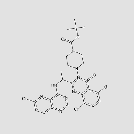 CC(Nc1ncnc2ccc(Cl)nc12)c1nc2c(Cl)ccc(Cl)c2c(=O)n1N1CCN(C(=O)OC(C)(C)C)CC1